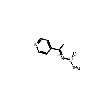 C/C(=N\[S+]([O-])C(C)(C)C)c1ccncc1